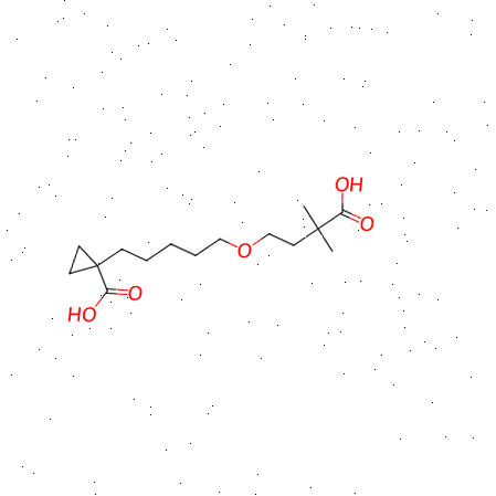 CC(C)(CCOCCCCCC1(C(=O)O)CC1)C(=O)O